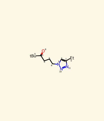 CCc1cn(CCCC(=O)C(C)(C)C)nn1